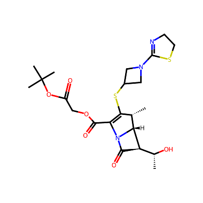 C[C@@H](O)[C@H]1C(=O)N2C(C(=O)OCC(=O)OC(C)(C)C)=C(SC3CN(C4=NCCS4)C3)[C@H](C)[C@H]12